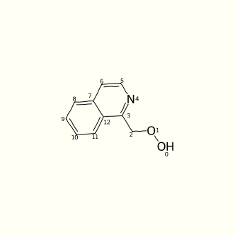 OOCc1nccc2ccccc12